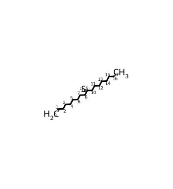 C=CCCCCCCCCCCCCCCCC.[S]